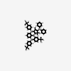 CC1=C(N(c2ccccc2)c2ccccc2)C(C)(C)C2=C1N(c1ccc(C(C)(C)C)cc1)c1cccc3c1B2c1cc(C(C)(C)C)ccc1N3c1ccc(C(C)(C)C)cc1